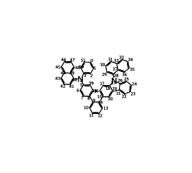 c1ccc(N(c2ccc(-c3ccccc3-c3ccc4c(c3)c3ccccc3n4-c3cccc4ccccc34)cc2)c2cccc3ccccc23)cc1